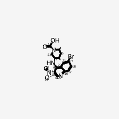 O=C(O)N1CCC[C@@H](Nc2c([N+](=O)[O-])cnc3ccc(Br)cc23)C1